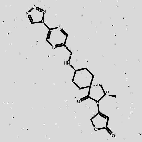 C[C@@H]1C[C@]2(CC[C@H](NCc3cnc(-n4cnnn4)cn3)CC2)C(=O)N1C1=CC(=O)OC1